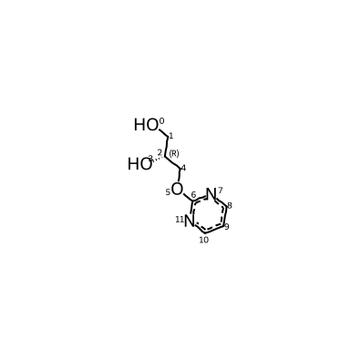 OC[C@@H](O)COc1ncccn1